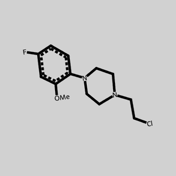 COc1cc(F)ccc1N1CCN(CCCl)CC1